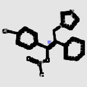 O=[N+]([O-])O/C(=C(/Cn1ccnc1)c1ccccc1)c1ccc(Cl)cc1